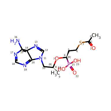 CC(=O)SCC[C@H](O[C@H](C)Cn1cnc2c(N)ncnc21)P(=O)(O)O